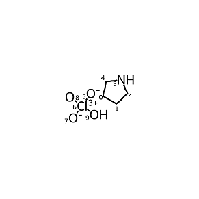 C1CCNC1.[O-][Cl+3]([O-])([O-])O